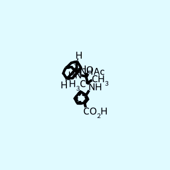 CC(=O)N[C@@]12CC3C[C@H](C1)[C@H](NC(=O)C(C)(C)Nc1cccc(C(=O)O)c1)[C@@H](C3)C2